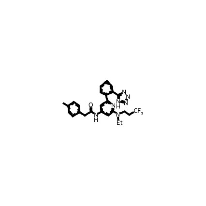 CCN(CCC(F)(F)F)c1cc(NC(=O)Cc2ccc(C)cc2)cc(-c2ccccc2-c2nnn[nH]2)n1